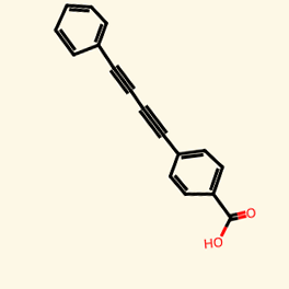 O=C(O)c1ccc(C#CC#Cc2ccccc2)cc1